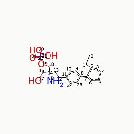 CCc1ccccc1-c1ccc(CCC(N)(CO)COP(=O)(O)O)cc1